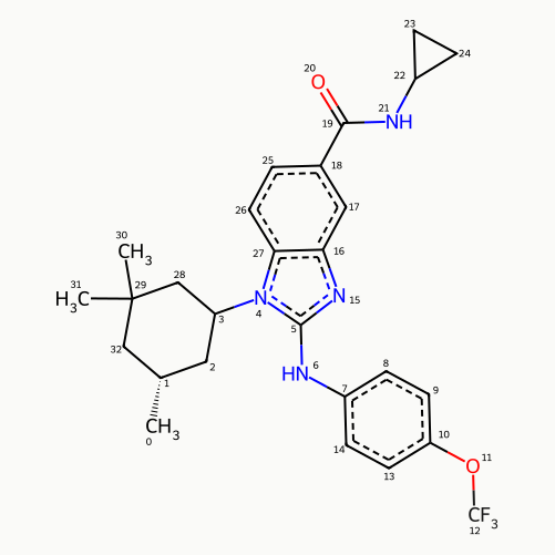 C[C@H]1CC(n2c(Nc3ccc(OC(F)(F)F)cc3)nc3cc(C(=O)NC4CC4)ccc32)CC(C)(C)C1